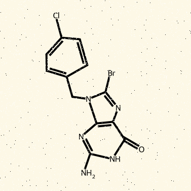 Nc1nc2c(nc(Br)n2Cc2ccc(Cl)cc2)c(=O)[nH]1